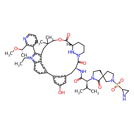 CCn1c(-c2cccnc2[C@H](C)OC)c2c3cc(ccc31)-c1cc(O)cc(c1)C[C@H](NC(=O)[C@H](C(C)C)N1CC[C@]3(CCN(S(=O)(=O)[C@H]4CN4)C3)C1=O)C(=O)N1CCC[C@H](N1)C(=O)OCC(C)(C)C2